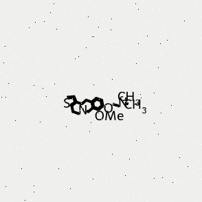 COc1c(OCCN(C)C)ccc2c1CN1CCc3sccc3C1C2